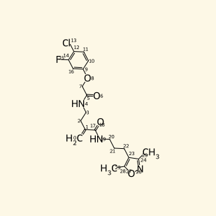 C=C(CCNC(=O)COc1ccc(Cl)c(F)c1)C(=O)NCCCc1c(C)noc1C